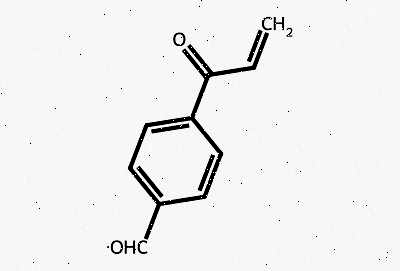 C=CC(=O)c1ccc([C]=O)cc1